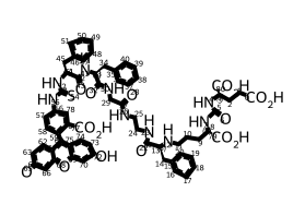 O=C(O)CC[C@H](NC(=O)N[C@@H](CCCN[C@@H](Cc1ccccc1)C(=O)NCCNC(=O)CNC(=O)[C@H](Cc1ccccc1)NC(=O)[C@H](Cc1ccccc1)NC(=S)Nc1ccc(-c2c3ccc(=O)cc-3oc3cc(O)ccc23)c(C(=O)O)c1)C(=O)O)C(=O)O